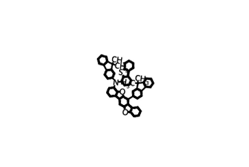 CC1(C)c2ccccc2-c2ccc(-c3c4oc5c(N(c6ccc7c(c6)C(C)(C)c6ccccc6-7)c6cccc7c6sc6ccccc67)cccc5c4cc4oc5ccccc5c34)cc21